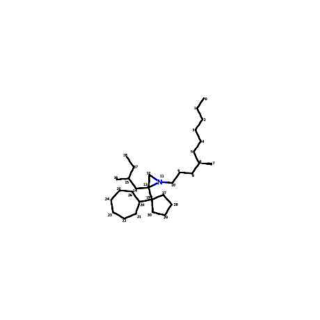 CCCCCC[C@@H](C)CCCN1CC1(CC(C)CC)C1(C2CCCCCC2)CCCC1